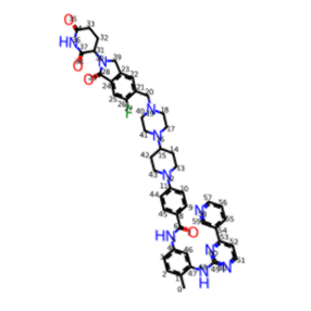 Cc1ccc(NC(=O)c2ccc(N3CCC(N4CCN(Cc5cc6c(cc5F)C(=O)N(C5CCC(=O)NC5=O)C6)CC4)CC3)cc2)cc1Nc1nccc(-c2cccnc2)n1